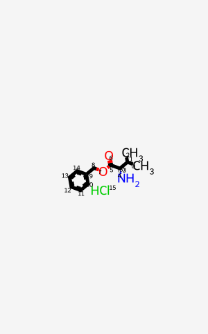 CC(C)[C@H](N)C(=O)OCc1ccccc1.Cl